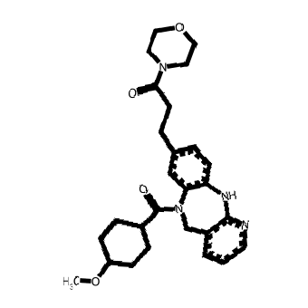 COC1CCC(C(=O)N2Cc3cccnc3Nc3ccc(CCC(=O)N4CCOCC4)cc32)CC1